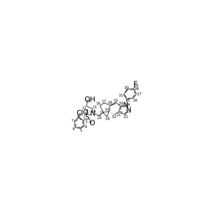 O=S(=O)(c1ccccc1Cl)N(CCO)C[C@@]12CCC3=Cc4c(cnn4-c4ccc(F)cc4)C[C@@]31C2